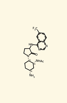 CC(=O)N[C@@H]1C[C@H](N)CC[C@@H]1N1CCC(Nc2ncnc3ccc(C(F)(F)F)cc23)C1=O